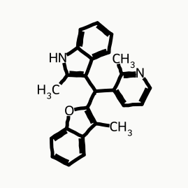 Cc1ncccc1[C](c1oc2ccccc2c1C)c1c(C)[nH]c2ccccc12